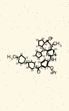 CC(C)Oc1cc(C(=O)N2CCC(N3CCN(C)CC3)CC2)ccc1Nc1ncc2c(n1)N(C1CCCC1)C1CCCC1C(=O)N2C